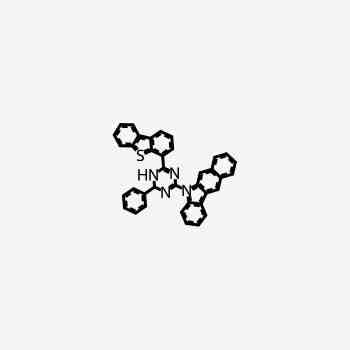 c1ccc(C2N=C(n3c4ccccc4c4cc5ccccc5cc43)N=C(c3cccc4c3sc3ccccc34)N2)cc1